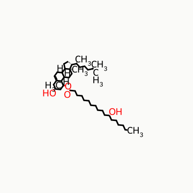 CCCCCCC(O)CCCCCCCCCCC(=O)OC1C[C@H](O)CC2=CC[C@H]3[C@@H]4CC[C@H]([C@H](C)CCCC(C)C)[C@@]4(C)CC[C@@H]3[C@]21C